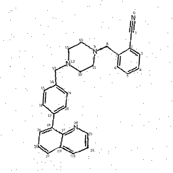 N#Cc1ccccc1CN1CCN(Cc2ccc(-c3cccc4cccnc34)cc2)CC1